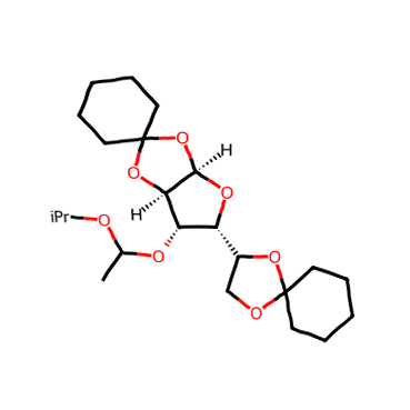 CC(C)OC(C)O[C@@H]1[C@H]2OC3(CCCCC3)O[C@H]2O[C@@H]1C1COC2(CCCCC2)O1